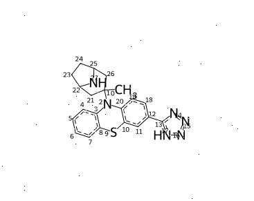 CC1(N2c3ccccc3Sc3cc(-c4nnn[nH]4)ccc32)CC2CCC(C1)N2